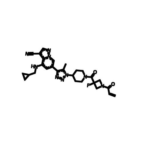 C=CC(=O)N1CC(F)(C(=O)N2CCC(n3nnc(-c4cc(NCC5CC5)c5c(C#N)cnn5c4)c3C)CC2)C1